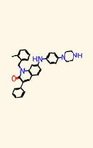 Cc1ccccc1Cn1c(=O)c(-c2ccccc2)cc2ccc(Nc3ccc(N4CCNCC4)cc3)cc21